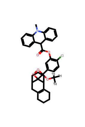 [2H]C([2H])([2H])OC1(c2ccc(Cl)c(OC(=O)C3c4ccccc4N(C)c4ccccc43)c2)OOC12C1CCCC2C2=C(CCCC2)C1